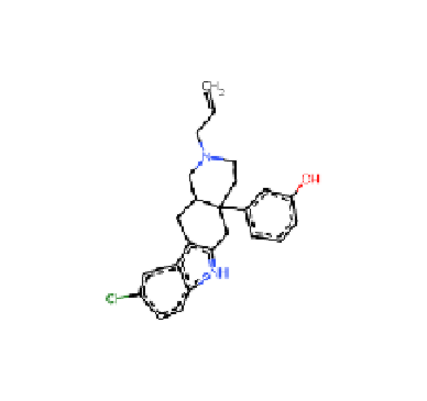 C=CCN1CCC2(c3cccc(O)c3)Cc3[nH]c4ccc(Cl)cc4c3CC2C1